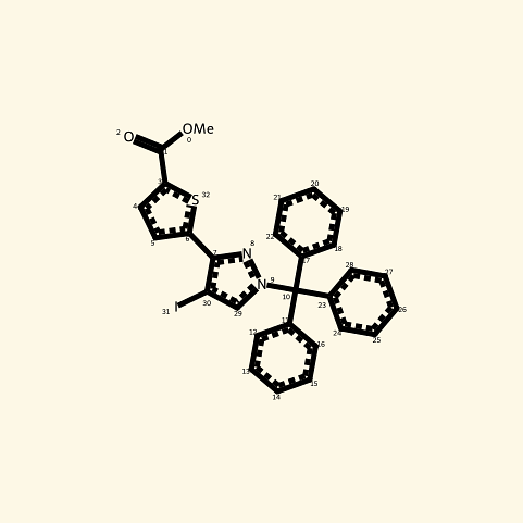 COC(=O)c1ccc(-c2nn(C(c3ccccc3)(c3ccccc3)c3ccccc3)cc2I)s1